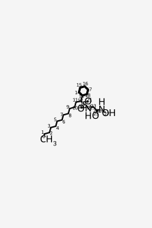 CCCCCCCCCCCCC(c1ccccc1)S(=O)(=O)NCC(=O)NO